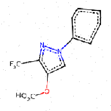 O=C(O)Oc1cn(-c2ccccc2)nc1C(F)(F)F